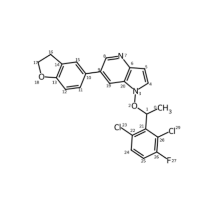 CC(On1ccc2ncc(-c3ccc4c(c3)CCO4)cc21)c1c(Cl)ccc(F)c1Cl